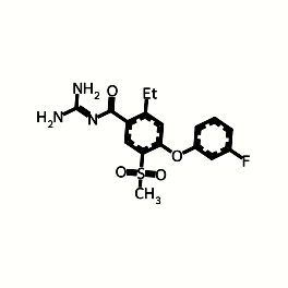 CCc1cc(Oc2cccc(F)c2)c(S(C)(=O)=O)cc1C(=O)N=C(N)N